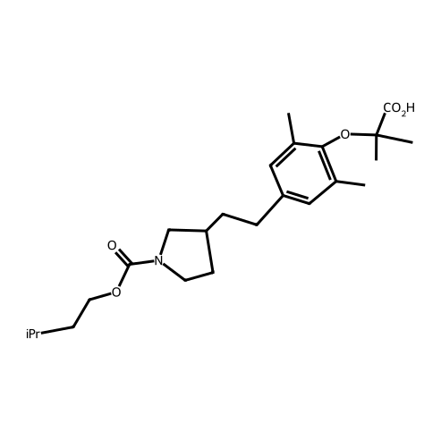 Cc1cc(CCC2CCN(C(=O)OCCC(C)C)C2)cc(C)c1OC(C)(C)C(=O)O